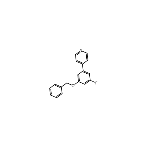 Fc1cc(OCc2ccccc2)cc(-c2ccncc2)c1